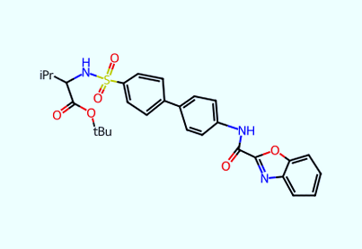 CC(C)C(NS(=O)(=O)c1ccc(-c2ccc(NC(=O)c3nc4ccccc4o3)cc2)cc1)C(=O)OC(C)(C)C